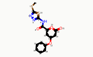 CSc1nnc(NC(=O)c2cc(Oc3ccccc3)cc(=O)o2)s1